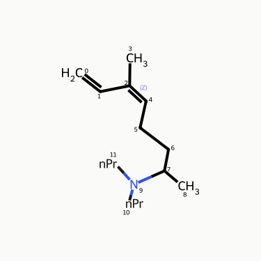 C=C/C(C)=C\CCC(C)N(CCC)CCC